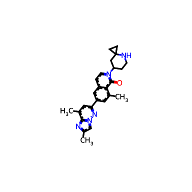 Cc1cn2nc(-c3cc(C)c4c(=O)n(C5CCNC6(CC6)C5)ccc4c3)cc(C)c2n1